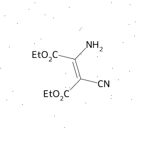 CCOC(=O)C(N)=C(C#N)C(=O)OCC